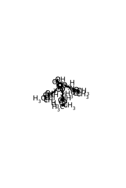 CC(C)(C)OC(=O)NCCCOc1cc(C(=O)O)cc(OCCCNC(=O)OC(C)(C)C)c1OCCCNC(=O)OC(C)(C)C